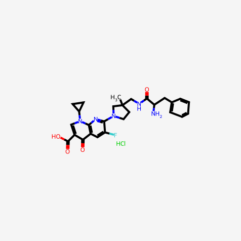 CC1(CNC(=O)C(N)Cc2ccccc2)CCN(c2nc3c(cc2F)c(=O)c(C(=O)O)cn3C2CC2)C1.Cl